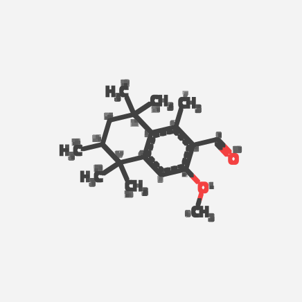 COc1cc2c(c(C)c1C=O)C(C)(C)CC(C)C2(C)C